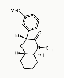 CC[C@]1(c2cccc(OC)c2)O[C@H]2CCCC[C@@H]2N(C)C1=O